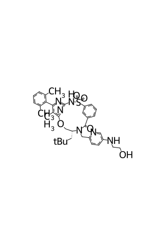 Cc1cccc(C)c1-c1nc2nc(c1C)OC[C@@H](CC(C)(C)C)N(Cc1ccc(NCCO)cn1)C(=O)c1cccc(c1)S(=O)(=O)N2